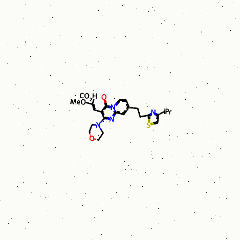 CO/C(=C/c1c(N2CCOCC2)nc2cc(CCc3nc(C(C)C)cs3)ccn2c1=O)C(=O)O